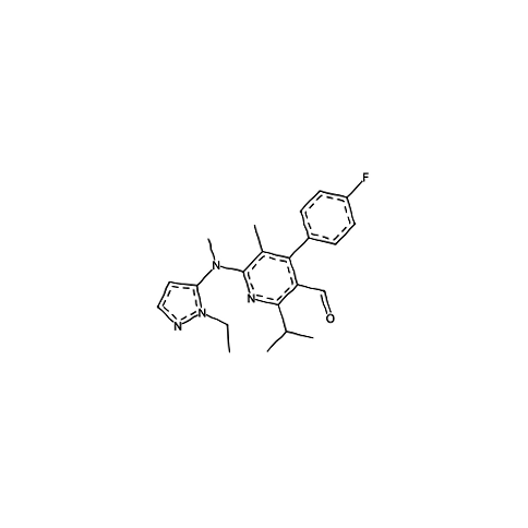 CCn1nccc1N(C)c1nc(C(C)C)c(C=O)c(-c2ccc(F)cc2)c1C